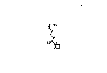 CCCCCCCCCCC(=O)N1CCO1